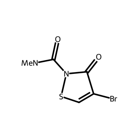 CNC(=O)n1scc(Br)c1=O